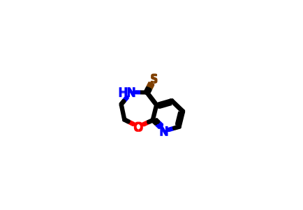 S=C1NCCOc2ncccc21